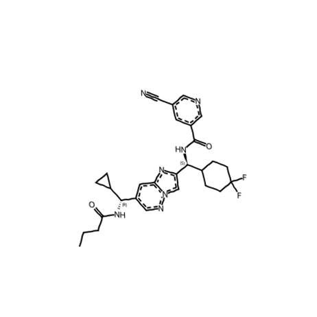 CCCC(=O)N[C@@H](c1cnn2cc([C@@H](NC(=O)c3cncc(C#N)c3)C3CCC(F)(F)CC3)nc2c1)C1CC1